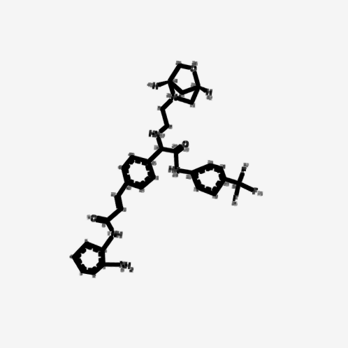 Nc1ccccc1NC(=O)/C=C/c1ccc(C(NCCN2C[C@@H]3C[C@H]2CO3)C(=O)Nc2ccc(C(F)(F)F)cc2)cc1